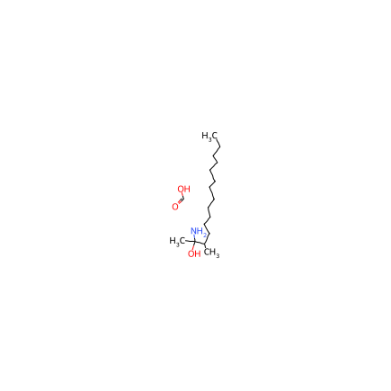 CCCCCCCCCCCCC(C)C(C)(N)O.O=CO